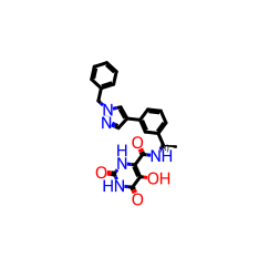 C[C@@H](NC(=O)c1[nH]c(=O)[nH]c(=O)c1O)c1cccc(-c2cnn(Cc3ccccc3)c2)c1